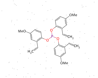 C=Cc1cc(OC)ccc1OP(Oc1ccc(OC)cc1C=C)Oc1ccc(OC)cc1C=C